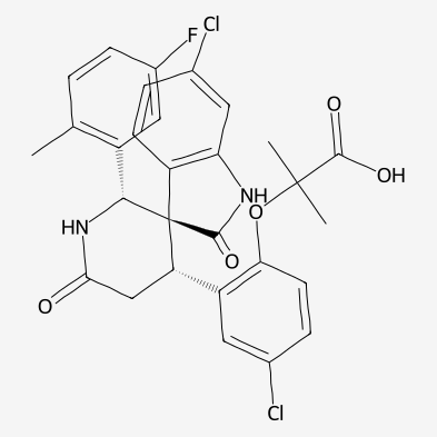 Cc1ccc(F)cc1[C@H]1NC(=O)C[C@@H](c2cc(Cl)ccc2OC(C)(C)C(=O)O)[C@]12C(=O)Nc1cc(Cl)ccc12